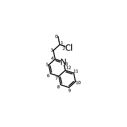 CC(Cl)Cc1ccc2ccccc2n1